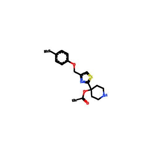 CSc1ccc(OCc2csc(C3(OC(=O)C(C)(C)C)CCNCC3)n2)cc1